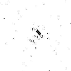 O=P.P.P